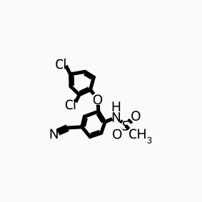 CS(=O)(=O)Nc1ccc(C#N)cc1Oc1ccc(Cl)cc1Cl